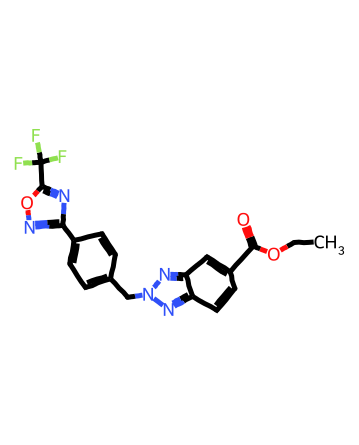 CCOC(=O)c1ccc2nn(Cc3ccc(-c4noc(C(F)(F)F)n4)cc3)nc2c1